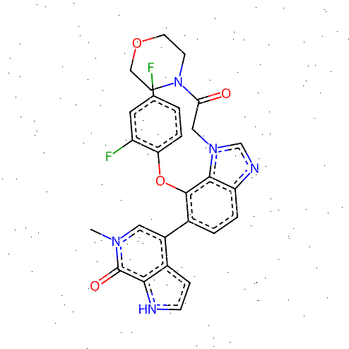 Cn1cc(-c2ccc3ncn(CC(=O)N4CCOCC4)c3c2Oc2ccc(F)cc2F)c2cc[nH]c2c1=O